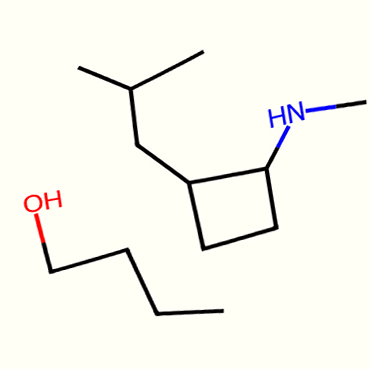 CCCCO.CNC1CCC1CC(C)C